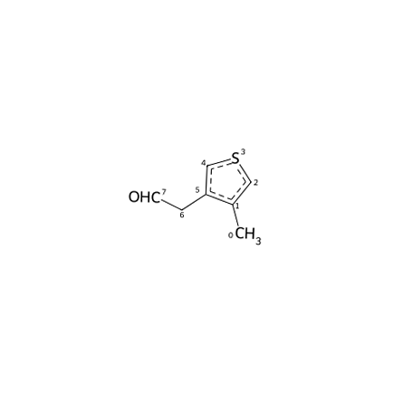 Cc1cscc1CC=O